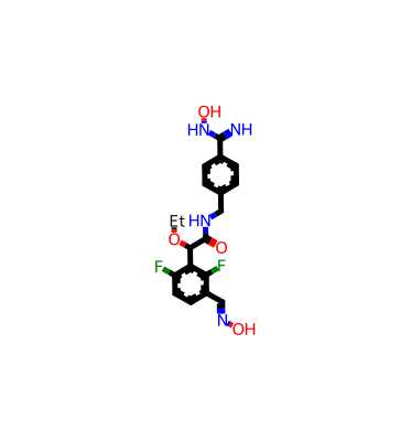 CCOC(C(=O)NCc1ccc(C(=N)NO)cc1)c1c(F)ccc(C=NO)c1F